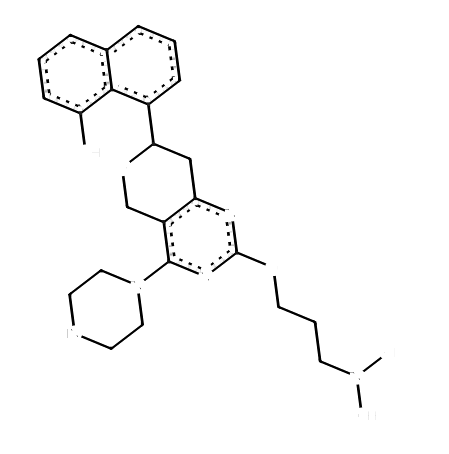 Cc1cccc2cccc(C3Cc4nc(OCCCN(C)C)nc(N5CCNCC5)c4CO3)c12